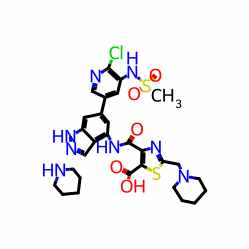 C1CCNCC1.CS(=O)(=O)Nc1cc(-c2cc(NC(=O)c3nc(CN4CCCCC4)sc3C(=O)O)c3cn[nH]c3c2)cnc1Cl